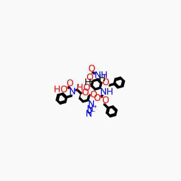 C[C@H]([C@@H]1CC[C@@H](N=[N+]=[N-])C(O[C@H]2[C@H](O)[C@H]3OC(=O)N[C@@H]3[C@@H](OCc3ccccc3)[C@@H]2NC(=O)OCc2ccccc2)O1)N(Cc1ccccc1)C(=O)O